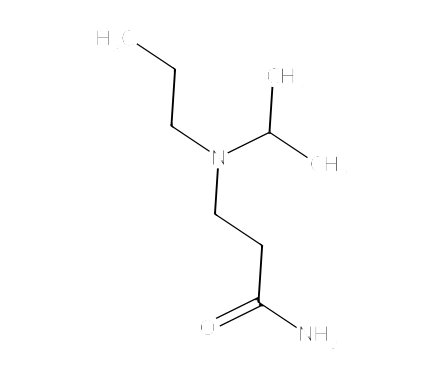 CCCN(CCC(N)=O)C(C)C